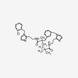 CC(C)(C)C(=O)NCCc1nccn1Cc1cccc(CC(C)(C)C(=O)NCCc2nccn2Cc2ccccc2Cl)c1